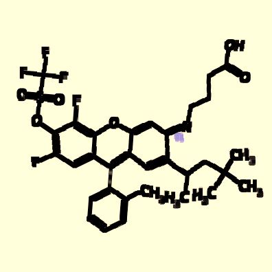 Cc1ccccc1-c1c2cc(C(C)CC(C)(C)C)/c(=N/CCCC(=O)O)cc-2oc2c(F)c(OS(=O)(=O)C(F)(F)F)c(F)cc12